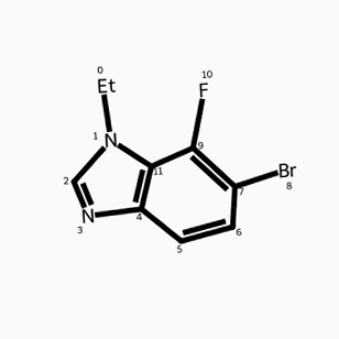 CCn1cnc2ccc(Br)c(F)c21